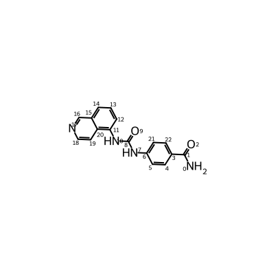 NC(=O)c1ccc(NC(=O)Nc2cccc3cnccc23)cc1